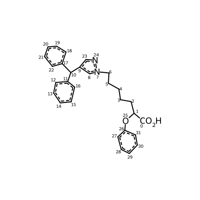 O=C(O)C(CCCCCn1cc(C(c2ccccc2)c2ccccc2)cn1)Oc1ccccc1